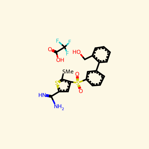 CSc1sc(C(=N)N)cc1S(=O)(=O)c1cccc(-c2ccccc2CO)c1.O=C(O)C(F)(F)F